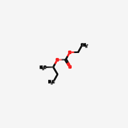 [CH2]COC(=O)OC(C)CC